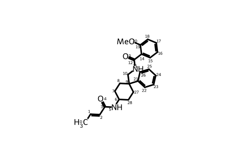 CC=CC(=O)NC1CCC(CNC(=O)c2ccccc2OC)(c2ccccc2)CC1